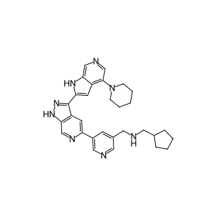 c1ncc(-c2cc3c(-c4cc5c(N6CCCCC6)cncc5[nH]4)n[nH]c3cn2)cc1CNCC1CCCC1